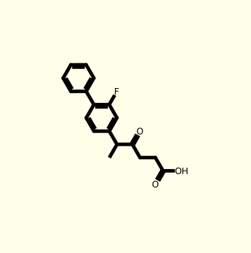 CC(C(=O)CCC(=O)O)c1ccc(-c2ccccc2)c(F)c1